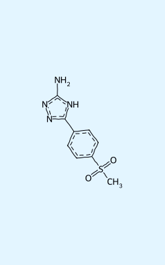 CS(=O)(=O)c1ccc(-c2nnc(N)[nH]2)cc1